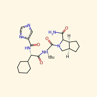 CC(C)(C)[C@H](NC(=O)[C@@H](NC(=O)c1cnccn1)C1CCCCC1)C(=O)N1C[C@@H]2CCC[C@@H]2C1C(N)=O